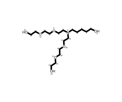 OCCCCCN(CCOCCOCCO)CCOCCOCCO